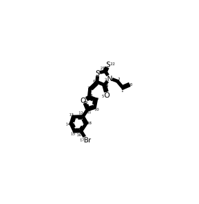 C=CCN1C(=O)/C(=C\c2ccc(-c3cccc(Br)c3)o2)SC1=S